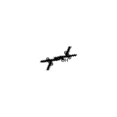 CCCCCCCC(=O)OCC(CCCCN(CCO)CC1CCC(CN(CCCCC(COC(=O)CCCCCCC)COC(=O)CCCCCCC)C(C)C)CC1)COC(=O)CCCCCCC